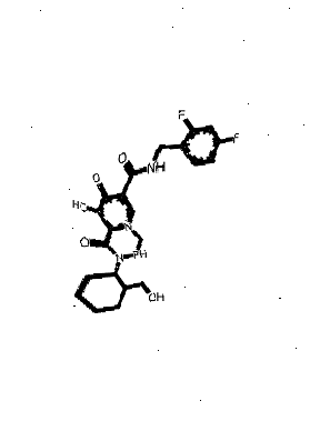 O=C(NCc1ccc(F)cc1F)c1cn2c(c(O)c1=O)C(=O)N(C1CCCCC1CO)PC2